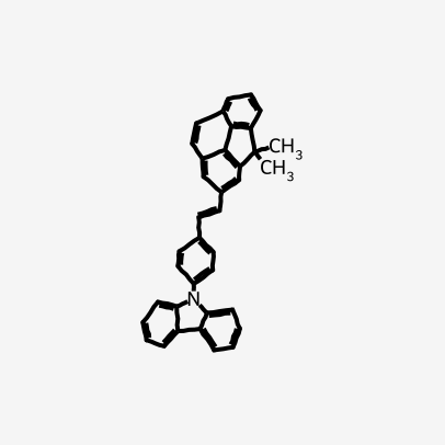 CC1(C)c2cccc3ccc4cc(/C=C/c5ccc(-n6c7ccccc7c7ccccc76)cc5)cc1c4c23